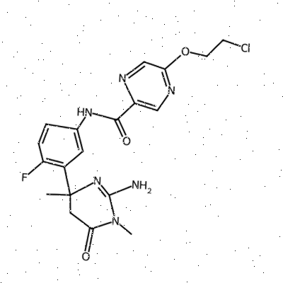 CN1C(=O)CC(C)(c2cc(NC(=O)c3cnc(OCCCl)cn3)ccc2F)N=C1N